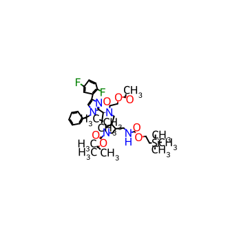 CC(=O)OCC(=O)N(CC1CN(C(=O)OC(C)(C)C)CC1CNC(=O)OCC[Si](C)(C)C)[C@@H](c1nc(-c2cc(F)ccc2F)cn1Cc1ccccc1)C(C)(C)C